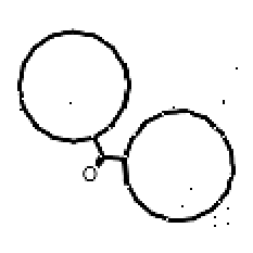 O=C(C1CCCCCCCCCCCCCCC1)C1CCCCCCCCCCCCCCC1